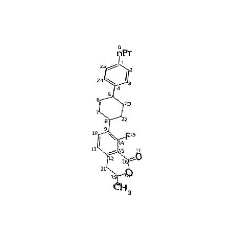 CCCc1ccc(C2CCC(c3ccc4c(c3F)C(=O)OC(C)C4)CC2)cc1